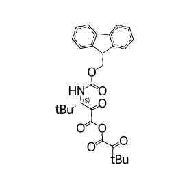 CC(C)(C)C(=O)C(=O)OC(=O)C(=O)[C@@H](NC(=O)OCC1c2ccccc2-c2ccccc21)C(C)(C)C